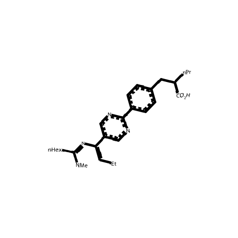 CC/C=C(/N=C(/CCCCCC)NC)c1cnc(-c2ccc(CC(CCC)C(=O)O)cc2)nc1